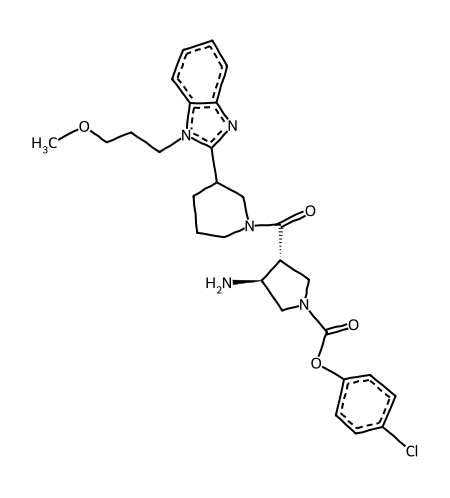 COCCCn1c(C2CCCN(C(=O)[C@@H]3CN(C(=O)Oc4ccc(Cl)cc4)C[C@H]3N)C2)nc2ccccc21